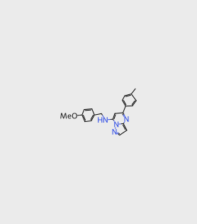 COc1ccc(CNc2cc(-c3ccc(C)cc3)nc3ccnn23)cc1